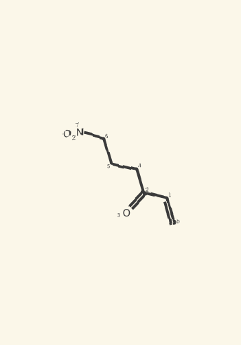 C=CC(=O)CCC[N+](=O)[O-]